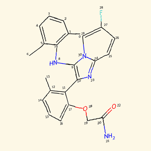 Cc1cccc(C)c1Nc1c(-c2c(C)cccc2OCC(N)=O)nc2ccc(F)cn12